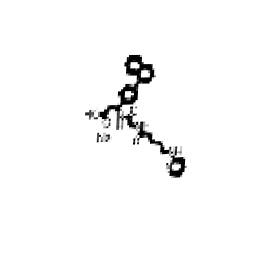 O=C(O)CC(NC(=O)CNC(=O)CCCCNc1ccccn1)c1ccc(-c2cccc3ccccc23)cc1.[Na]